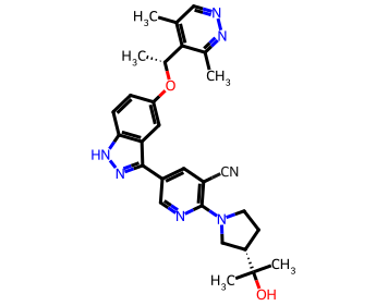 Cc1cnnc(C)c1[C@@H](C)Oc1ccc2[nH]nc(-c3cnc(N4CC[C@H](C(C)(C)O)C4)c(C#N)c3)c2c1